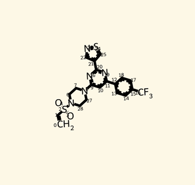 C=CS(=O)(=O)N1CCN(c2cc(-c3ccc(C(F)(F)F)cc3)nc(-c3cnsc3)n2)CC1